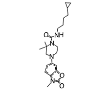 Cn1c(=O)oc2cc(N3CCN(C(=O)NCCCCC4CC4)C(C)(C)C3)ccc21